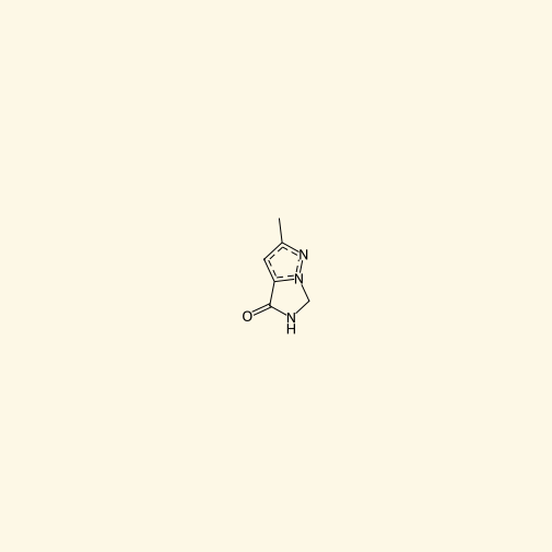 Cc1cc2n(n1)CNC2=O